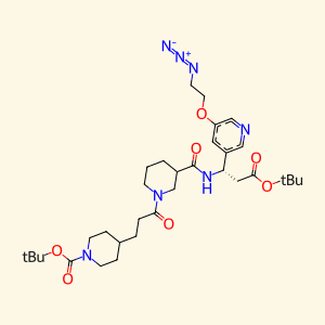 CC(C)(C)OC(=O)C[C@H](NC(=O)C1CCCN(C(=O)CCC2CCN(C(=O)OC(C)(C)C)CC2)C1)c1cncc(OCCN=[N+]=[N-])c1